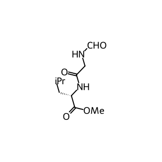 COC(=O)[C@H](CC(C)C)NC(=O)CNC=O